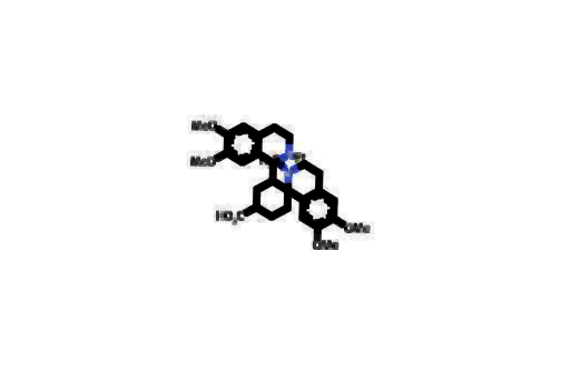 CCN1CCc2cc(OC)c(OC)cc2C1C1CC(C(=O)O)CCC12c1cc(OC)c(OC)cc1CCN2C